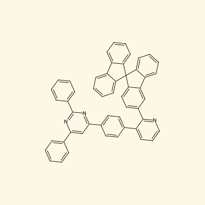 c1ccc(-c2cc(-c3ccc(-c4cccnc4-c4ccc5c(c4)-c4ccccc4C54c5ccccc5-c5ccccc54)cc3)nc(-c3ccccc3)n2)cc1